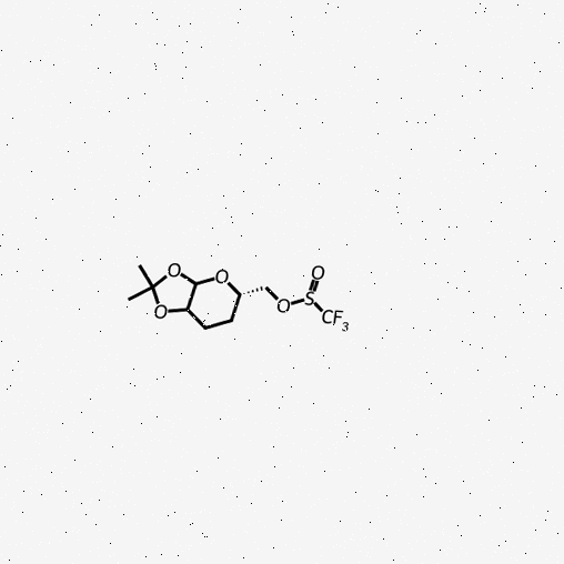 CC1(C)OC2CC[C@@H](COS(=O)C(F)(F)F)OC2O1